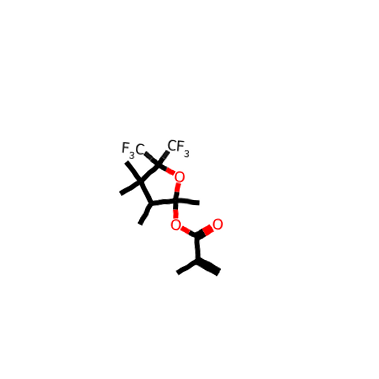 C=C(C)C(=O)OC1(C)OC(C(F)(F)F)(C(F)(F)F)C(C)(C)C1C